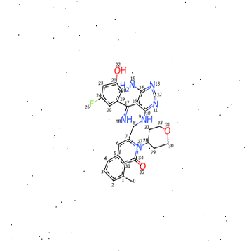 Cc1cccc2cc(CNc3ncnc(N)c3C(=N)c3cc(O)cc(F)c3)n(C3CCOCC3)c(=O)c12